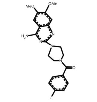 COc1cc2nc(N3CCN(C(=O)c4ccc(F)cc4)CC3)nc(N)c2cc1OC